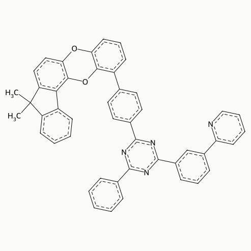 CC1(C)c2ccccc2-c2c1ccc1c2Oc2c(cccc2-c2ccc(-c3nc(-c4ccccc4)nc(-c4cccc(-c5ccccn5)c4)n3)cc2)O1